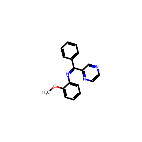 COc1ccccc1N=C(c1ccccc1)c1cnccn1